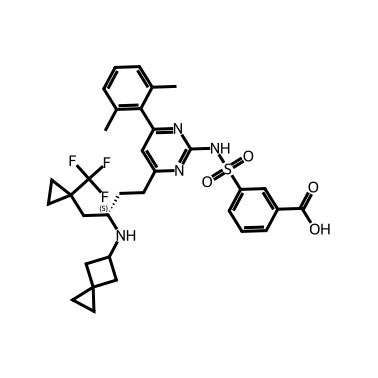 Cc1cccc(C)c1-c1cc(CC[C@@H](CC2(C(F)(F)F)CC2)NC2CC3(CC3)C2)nc(NS(=O)(=O)c2cccc(C(=O)O)c2)n1